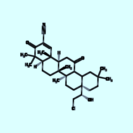 CC1(C)CC[C@]2([C@H](O)CCl)CC[C@]3(C)C(C(=O)C[C@@H]4[C@@]5(C)C=C(C#N)C(=O)C(C)(C)[C@@H]5CC[C@]43C)C2C1